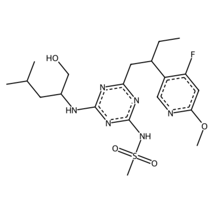 CCC(Cc1nc(NC(CO)CC(C)C)nc(NS(C)(=O)=O)n1)c1cnc(OC)cc1F